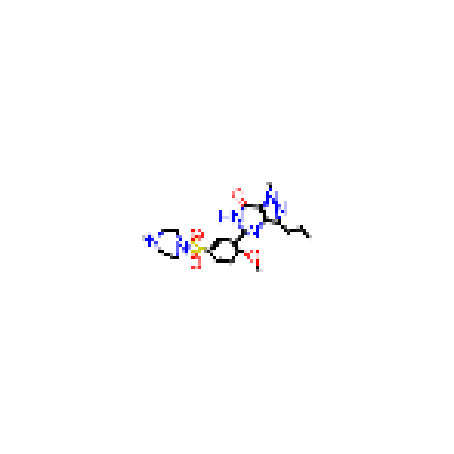 CCCc1nn(C)c2c(=O)[nH]c(-c3cc(S(=O)(=O)N4CCN(C)CC4)ccc3OC)nc12